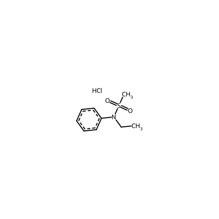 CCN(c1ccccc1)S(C)(=O)=O.Cl